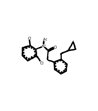 CC(=O)[N+](C(=O)Cc1ccccc1CC1CC1)c1c(Cl)cccc1Cl